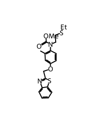 CCSCCN(C(=O)OC)c1ccc(OCc2nc3ccccc3s2)cc1C